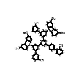 CC(C)(C)c1ccc2c(c1)c1cc(C(C)(C)C)ccc1n2-c1cc(-c2cccc(C#N)c2)cc(-c2nc(-c3ccc(-c4ccccc4C#N)cc3)nc(-c3cc(-c4cccc(C#N)c4)cc(-n4c5ccc(C(C)(C)C)cc5c5cc(C(C)(C)C)ccc54)c3)n2)c1